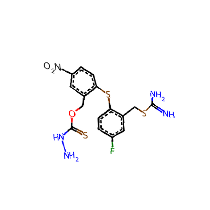 N=C(N)SCc1cc(F)ccc1Sc1ccc([N+](=O)[O-])cc1COC(=S)NN